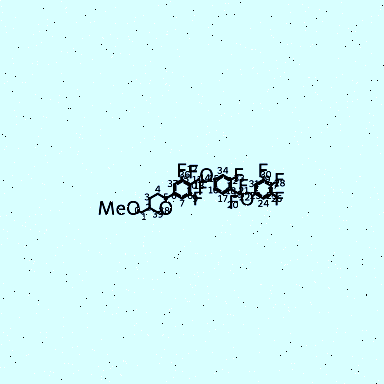 COCC1CCC(c2cc(F)c(C(F)(F)Oc3ccc(C(F)(F)Oc4cc(F)c(F)c(F)c4)c(F)c3)c(F)c2)OC1